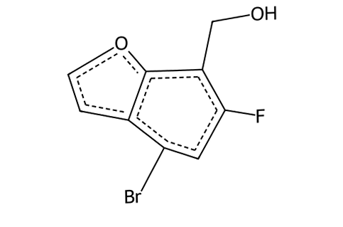 OCc1c(F)cc(Br)c2ccoc12